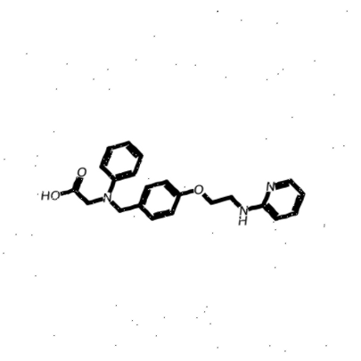 O=C(O)CN(Cc1ccc(OCCNc2ccccn2)cc1)c1ccccc1